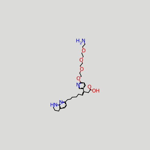 NCCOCCOCCOCCOc1ccc(/C(=C\CCCCCc2ccc3c(n2)NCCC3)CC(=O)O)cn1